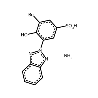 CCC(C)c1cc(S(=O)(=O)O)cc(-n2nc3ccccc3n2)c1O.N